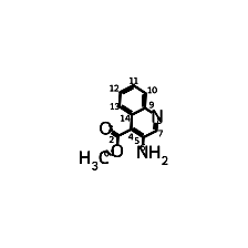 COC(=O)c1c(N)cnc2ccccc12